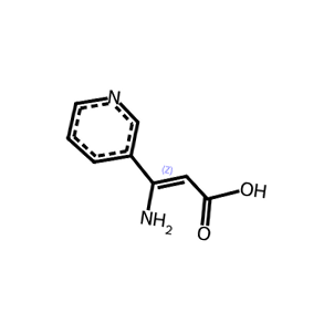 N/C(=C\C(=O)O)c1cccnc1